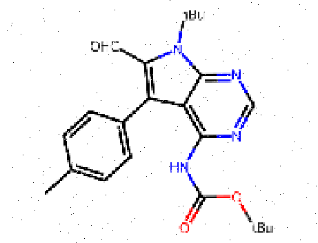 CCCCn1c(C=O)c(-c2ccc(C)cc2)c2c(NC(=O)OC(C)(C)C)ncnc21